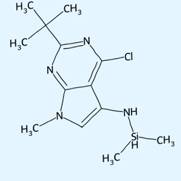 Cn1cc(N[SiH](C)C)c2c(Cl)nc(C(C)(C)C)nc21